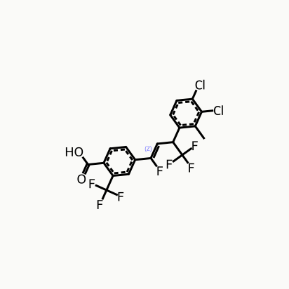 Cc1c(C(/C=C(\F)c2ccc(C(=O)O)c(C(F)(F)F)c2)C(F)(F)F)ccc(Cl)c1Cl